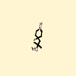 CC(C)(O)CC1(F)CCNCC1